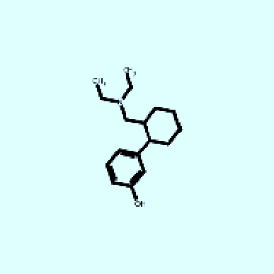 CCN(CC)CC1CCCCC1c1cccc(O)c1